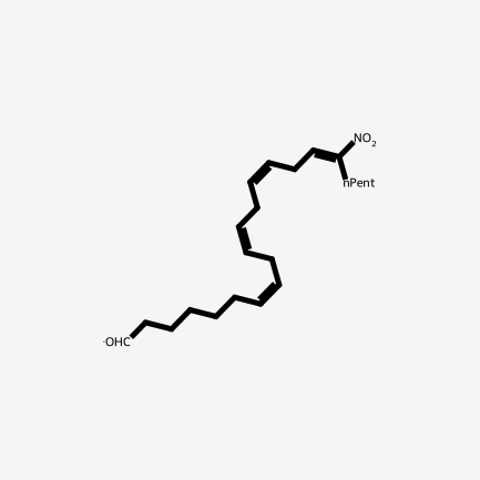 CCCCC/C(=C\C/C=C\C/C=C\C/C=C\CCCCC[C]=O)[N+](=O)[O-]